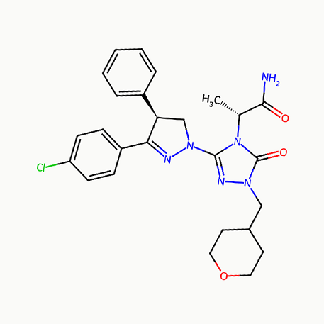 C[C@H](C(N)=O)n1c(N2C[C@H](c3ccccc3)C(c3ccc(Cl)cc3)=N2)nn(CC2CCOCC2)c1=O